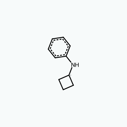 c1ccc(N[C]2CCC2)cc1